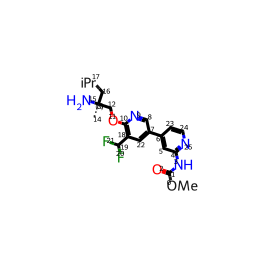 COC(=O)Nc1cc(-c2cnc(OC[C@@](C)(N)CC(C)C)c(C(F)F)c2)ccn1